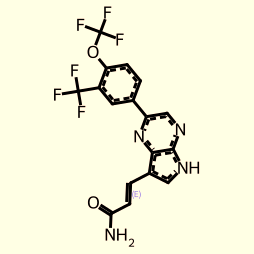 NC(=O)/C=C/c1c[nH]c2ncc(-c3ccc(OC(F)(F)F)c(C(F)(F)F)c3)nc12